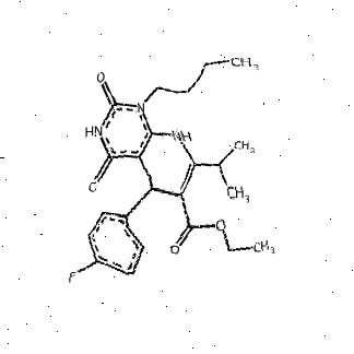 CCCCn1c2c(c(=O)[nH]c1=O)C(c1ccc(F)cc1)C(C(=O)OCC)=C(C(C)C)N2